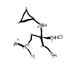 CC(C)[S+]([O-])C[C@@](C=O)(CO)NC1CC1